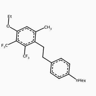 CCCCCCc1ccc(CCc2c(C)cc(OCC)c(C(F)(F)F)c2C(F)(F)F)cc1